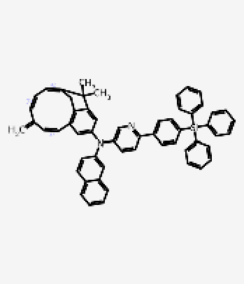 C=C1/C=C\C=C2/Cc3c(cc(N(c4ccc(-c5ccc([Si](c6ccccc6)(c6ccccc6)c6ccccc6)cc5)nc4)c4ccc5ccccc5c4)cc3C2(C)C)/C=C\1